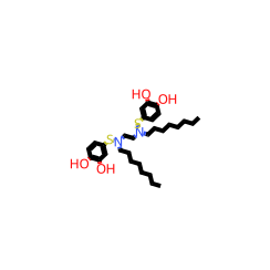 CCCCCCCCN(CCN(CCCCCCCC)Sc1ccc(O)c(O)c1)Sc1ccc(O)c(O)c1